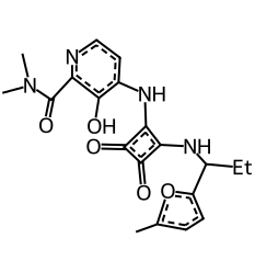 CCC(Nc1c(Nc2ccnc(C(=O)N(C)C)c2O)c(=O)c1=O)c1ccc(C)o1